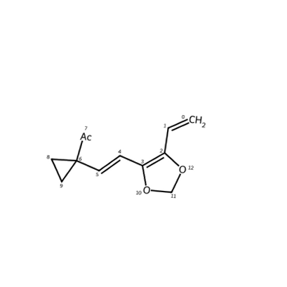 C=CC1=C(/C=C/C2(C(C)=O)CC2)OCO1